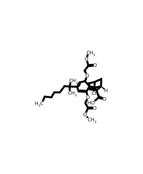 CCCCCCC(C)(C)C1=CC(OCC(=O)OC)C([C@@]2(C)C3CC=C(C(=O)O)[C@H]2C3)C(OCC(=O)OC)=C1